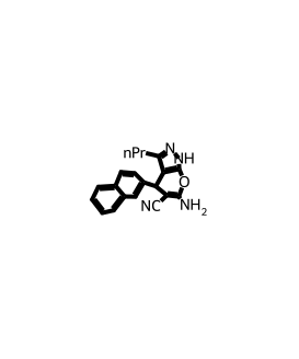 CCCc1n[nH]c2c1C(c1ccc3ccccc3c1)C(C#N)=C(N)O2